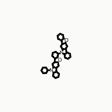 c1ccc(-n2c3ccccc3c3cc4oc5c(-n6c7ccccc7c7cc8oc9ccccc9c8cc76)cccc5c4cc32)cc1